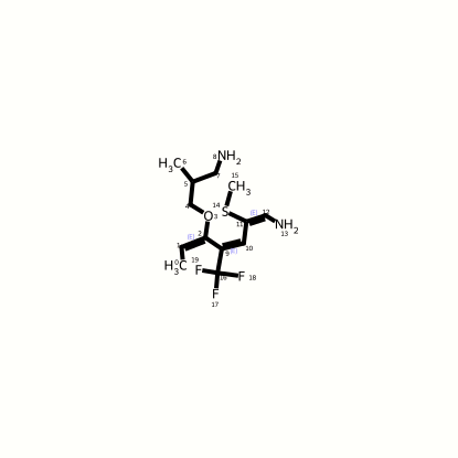 C\C=C(OCC(C)CN)/C(=C\C(=C/N)SC)C(F)(F)F